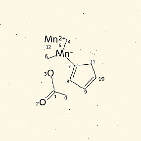 CC(=O)[O-].[CH3][Mn-]([CH3])[C]1=CC=CC1.[Mn+2]